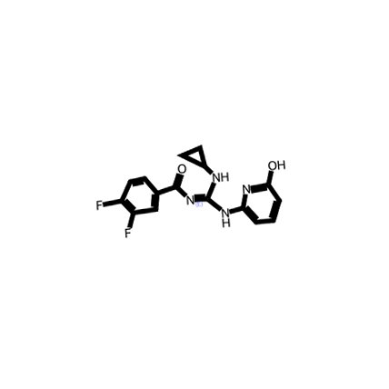 O=C(/N=C(/Nc1cccc(O)n1)NC1CC1)c1ccc(F)c(F)c1